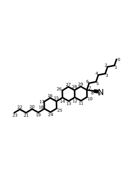 CCCCCCCC1(C#N)CCC2CC(C3CCC(CCCCC)CC3)CCC2C1